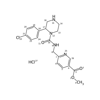 COC(=O)c1ccc(CNC(=O)N2CCNCC2c2ccc(Cl)cc2)nc1.Cl